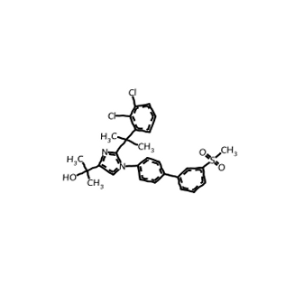 CC(C)(O)c1cn(-c2ccc(-c3cccc(S(C)(=O)=O)c3)cc2)c(C(C)(C)c2cccc(Cl)c2Cl)n1